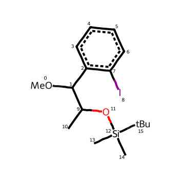 COC(c1ccccc1I)C(C)O[Si](C)(C)C(C)(C)C